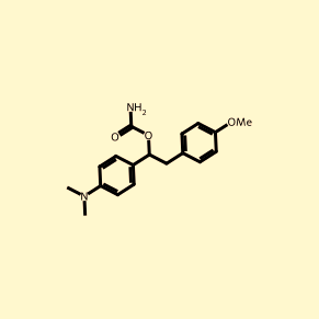 COc1ccc(CC(OC(N)=O)c2ccc(N(C)C)cc2)cc1